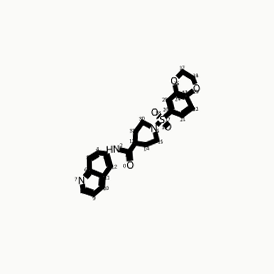 O=C(Nc1ccc2ncccc2c1)C1CCN(S(=O)(=O)c2ccc3c(c2)OCCO3)CC1